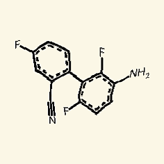 N#Cc1cc(F)ccc1-c1c(F)ccc(N)c1F